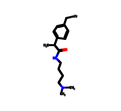 CC(C)Cc1ccc(C(C)C(=O)NCCCCN(C)C)cc1